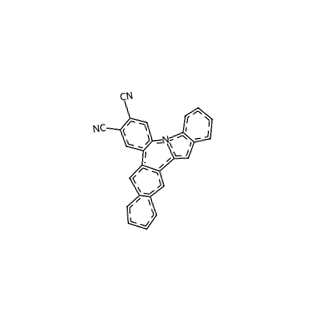 N#Cc1cc2c3cc4ccccc4cc3c3cc4ccccc4n3c2cc1C#N